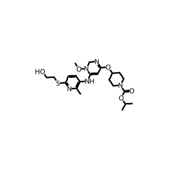 CON1CN=C(OC2CCN(C(=O)OC(C)C)CC2)C=C1Nc1ccc(SCCO)nc1C